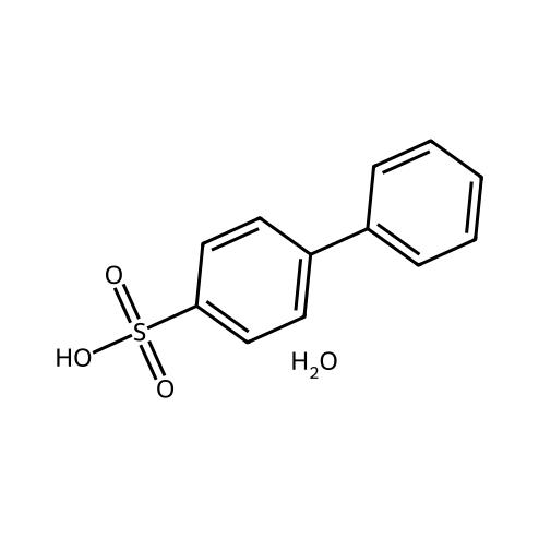 O.O=S(=O)(O)c1ccc(-c2ccccc2)cc1